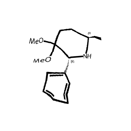 COC1(OC)CC[C@@H](C)N[C@@H]1c1ccccc1